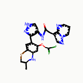 CC1CSc2cc(-c3n[nH]cc3NC(=O)c3cnn4cccnc34)c(OC(F)F)cc2N1